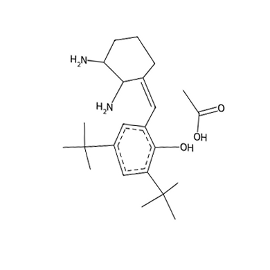 CC(=O)O.CC(C)(C)c1cc(/C=C2/CCCC(N)C2N)c(O)c(C(C)(C)C)c1